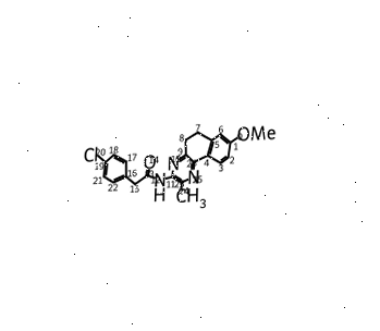 COc1ccc2c(c1)CCc1nc(NC(=O)Cc3ccc(Cl)cc3)c(C)nc1-2